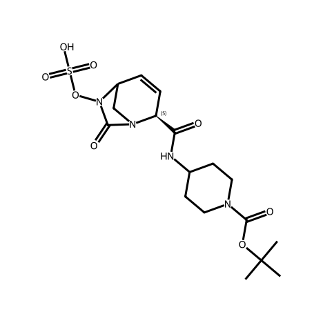 CC(C)(C)OC(=O)N1CCC(NC(=O)[C@@H]2C=CC3CN2C(=O)N3OS(=O)(=O)O)CC1